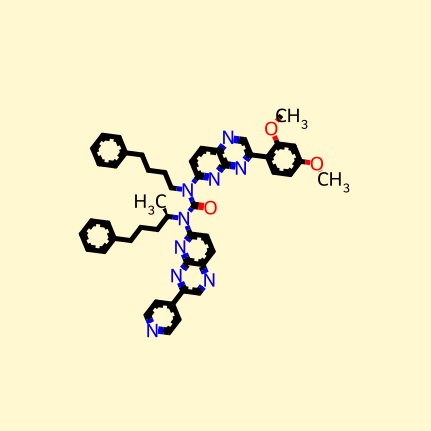 COc1ccc(-c2cnc3ccc(N(CCCCc4ccccc4)C(=O)N(c4ccc5ncc(-c6ccncc6)nc5n4)[C@H](C)CCCc4ccccc4)nc3n2)c(OC)c1